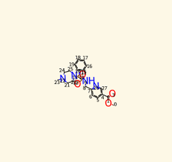 COC(=O)c1ccc(CNS(=O)(=O)[N+]2(c3ccccc3)CCN(C)CC2)nc1